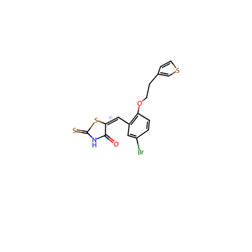 O=C1NC(=S)S/C1=C/c1cc(Br)ccc1OCCc1ccsc1